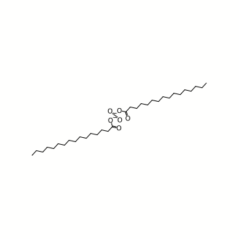 CCCCCCCCCCCCCCCC(=O)OS(=O)(=O)OC(=O)CCCCCCCCCCCCCCC